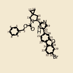 O=C(OCc1ccccc1)N1CC2(CC2)C[C@H]1c1ncc(-c2ccc3c(c2)oc2cc(Br)ccc23)[nH]1